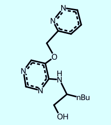 CCCCC(CO)Nc1ncncc1OCc1cccnn1